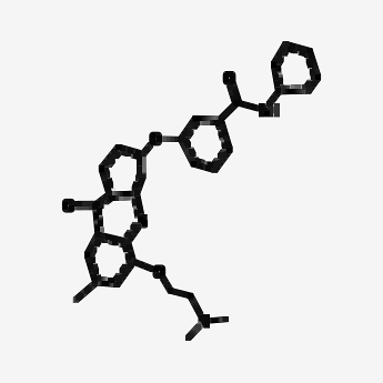 Cc1cc(OCCN(C)C)c2sc3cc(Oc4cccc(C(=O)Nc5ccccc5)c4)ccc3c(=O)c2c1